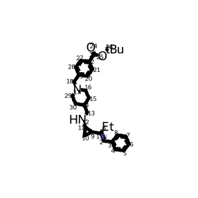 CC/C(=C\c1ccccc1)C1CC1NCC1CCN(Cc2ccc(C(=O)OC(C)(C)C)cc2)CC1